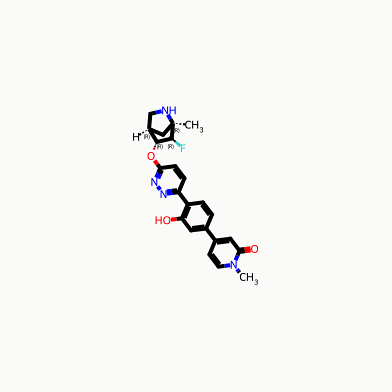 Cn1ccc(-c2ccc(-c3ccc(O[C@@H]4[C@H]5CN[C@](C)(C5)[C@H]4F)nn3)c(O)c2)cc1=O